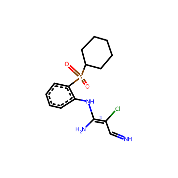 N=C/C(Cl)=C(\N)Nc1ccccc1S(=O)(=O)C1CCCCC1